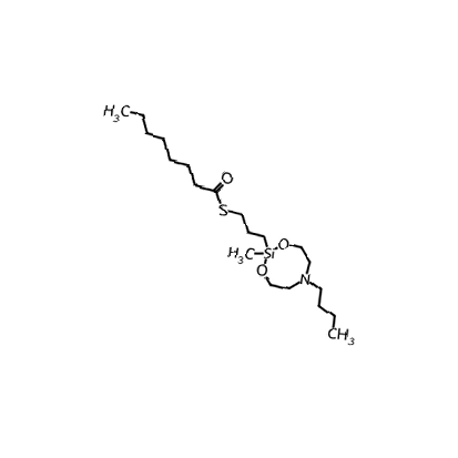 CCCCCCCC(=O)SCCC[Si]1(C)OCCN(CCCC)CCO1